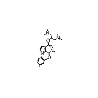 Cc1ccc(-n2ccc3c(OC(CN(C)C)CN(C)C)nn(C)c(=O)c32)c(C)c1